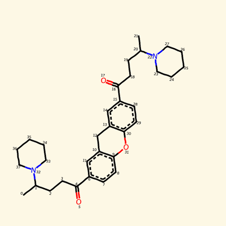 CC(CCC(=O)c1ccc2c(c1)Cc1cc(C(=O)CCC(C)N3CCCCC3)ccc1O2)N1CCCCC1